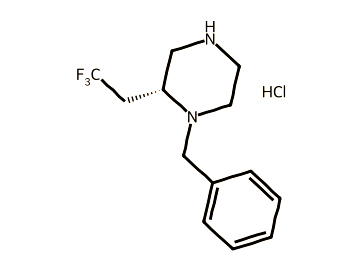 Cl.FC(F)(F)C[C@@H]1CNCCN1Cc1ccccc1